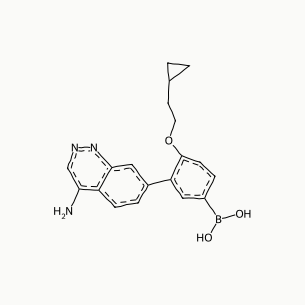 Nc1cnnc2cc(-c3cc(B(O)O)ccc3OCCC3CC3)ccc12